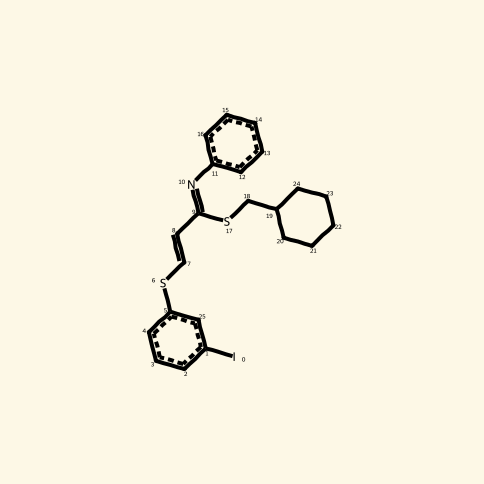 Ic1cccc(SC=CC(=Nc2ccccc2)SCC2CCCCC2)c1